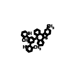 CC1=CC=CNC1c1cc(C2NC=CC=C2C)cc(N2c3ccccc3-c3sc4c(c3-c3ccccc32)CN(C)C=C4)c1